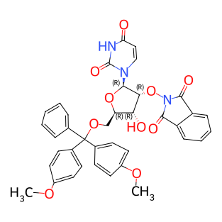 COc1ccc(C(OC[C@H]2O[C@@H](n3ccc(=O)[nH]c3=O)[C@H](ON3C(=O)c4ccccc4C3=O)[C@@H]2O)(c2ccccc2)c2ccc(OC)cc2)cc1